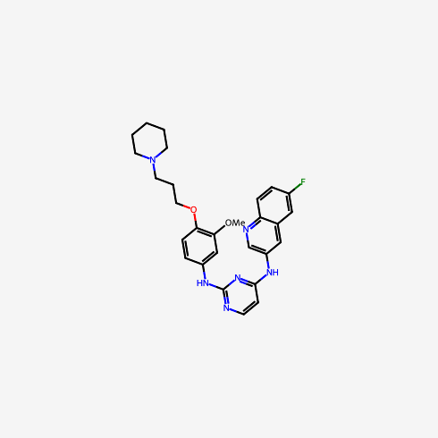 COc1cc(Nc2nccc(Nc3cnc4ccc(F)cc4c3)n2)ccc1OCCCN1CCCCC1